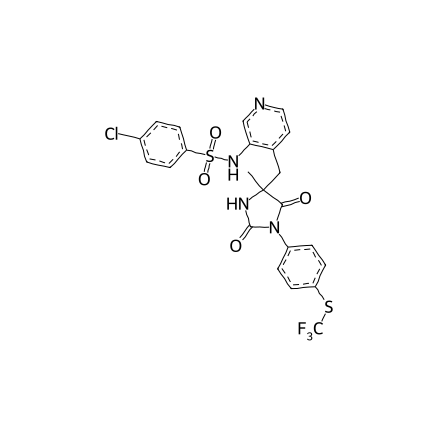 CC1(Cc2ccncc2NS(=O)(=O)c2ccc(Cl)cc2)NC(=O)N(c2ccc(SC(F)(F)F)cc2)C1=O